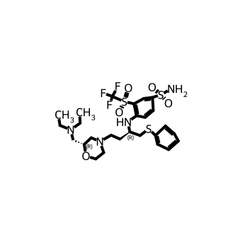 CCN(CC)C[C@@H]1CN(CC[C@H](CSc2ccccc2)Nc2ccc(S(N)(=O)=O)cc2S(=O)(=O)C(F)(F)F)CCO1